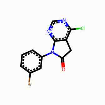 O=C1Cc2c(Cl)ncnc2N1c1cccc(Br)c1